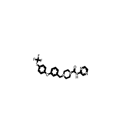 O=C(Nc1cnccn1)N1CCN(Cc2cccc(Oc3ccc(SC(F)(F)F)cc3)c2)CC1